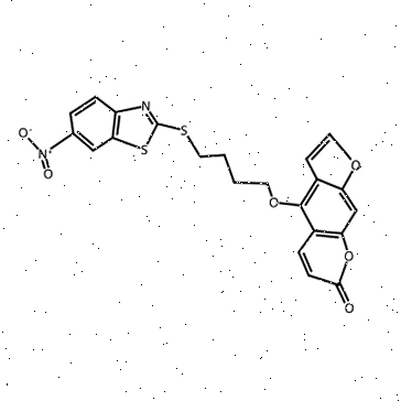 O=c1ccc2c(OCCCCSc3nc4ccc([N+](=O)[O-])cc4s3)c3ccoc3cc2o1